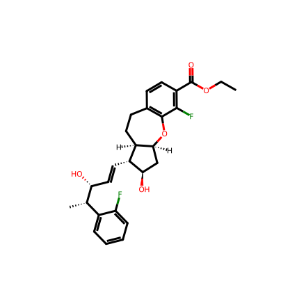 CCOC(=O)c1ccc2c(c1F)O[C@H]1C[C@@H](O)[C@H](/C=C/[C@@H](O)[C@@H](C)c3ccccc3F)[C@H]1CC2